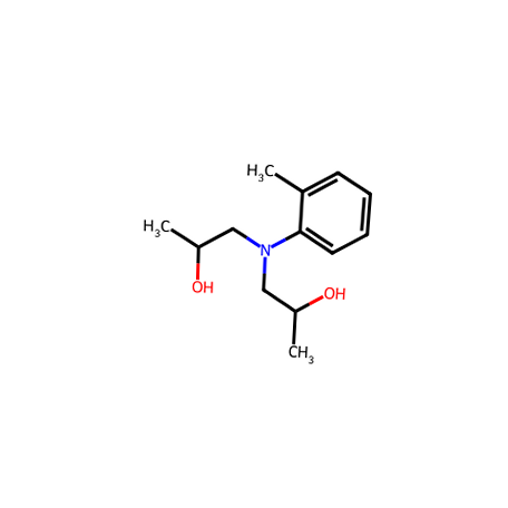 Cc1ccccc1N(CC(C)O)CC(C)O